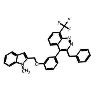 Cn1c(COc2cccc(-c3c(Cc4ccccc4)nnc4c(C(F)(F)F)cccc34)c2)cc2ccccc21